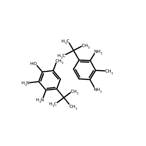 Cc1c(N)ccc(C(C)(C)C)c1N.Cc1cc(C(C)(C)C)c(N)c(N)c1O